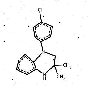 CC1(C)CN(c2ccc(Cl)cc2)c2ccccc2N1